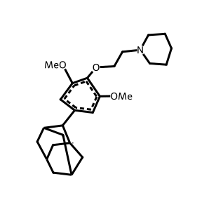 COc1cc(C2[C]3CC4CC(C3)CC2C4)cc(OC)c1OCCN1CCCCC1